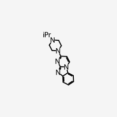 CC(C)N1CCN(c2ccn3c(n2)nc2ccccc23)CC1